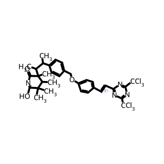 CC(c1ccc(COc2ccc(/C=C/c3nc(C(Cl)(Cl)Cl)nc(C(Cl)(Cl)Cl)n3)cc2)cc1)C(C)C1(C)C(=O)N=C(O)C(C)(C)C1C